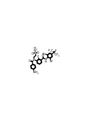 Nc1ccc(C(=O)N(CCS(N)(=O)=O)c2cccc(C(=O)Nc3c(Br)cc(C(F)(C(F)(F)F)C(F)(F)F)cc3Br)c2F)cc1